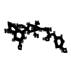 O=C(Cc1ccc(Cl)cc1)NC1[C@H]2CC(O)(c3cc(Cl)cc4[nH]ncc34)C[C@@H]12